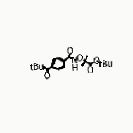 CC(C)(C)OC(=O)C(C)(C)ONC(=O)c1ccc(C(=O)C(C)(C)C)cc1